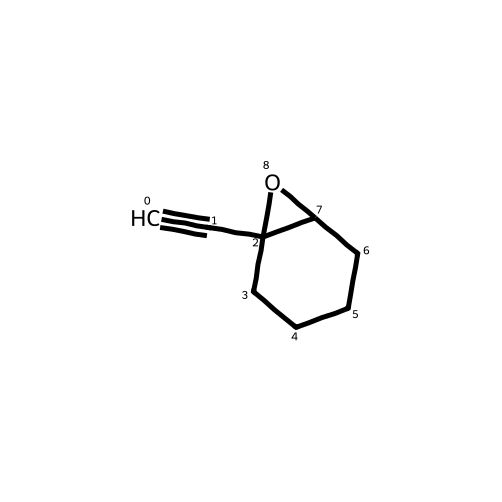 C#CC12CCCCC1O2